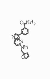 NC(=O)c1cccc(-c2cnc3ccc(NCc4ccco4)nn23)c1